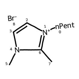 CCCCC[n+]1ccn(C)c1C.[Br-]